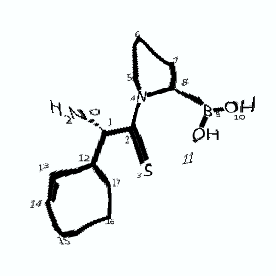 N[C@H](C(=S)N1CCC[C@H]1B(O)O)C1C=CCCC1